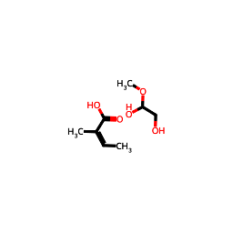 CC=C(C)C(=O)O.COC(O)CO